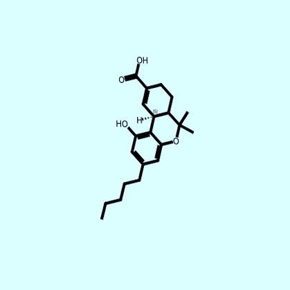 CCCCCc1cc(O)c2c(c1)OC(C)(C)C1CCC(C(=O)O)=C[C@H]21